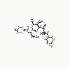 CC(=O)Nc1cc(N2CCOCC2)cn2c(=O)c(O)c(C(=O)NCc3ccc(F)cc3)nc12